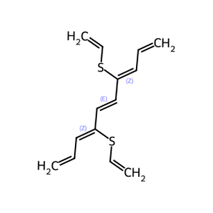 C=C/C=C(/C=C/C(=C/C=C)SC=C)SC=C